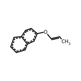 CC=COc1ccc2ccccc2c1